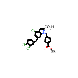 CC(C)(C)OC(=O)c1ccc(Cn2c(C(=O)O)cc3c(Cl)cc(Cc4ccc(Cl)c(Cl)c4)cc32)cc1